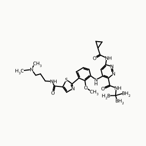 BC(B)(B)NC(=O)c1nnc(NC(=O)C2CC2)cc1Nc1cccc(-c2ncc(C(=O)NCCCN(C)C)s2)c1OC